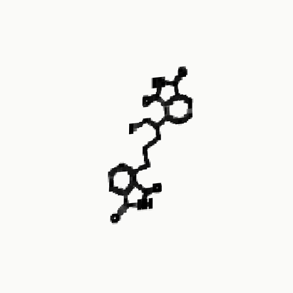 O=C1NC(=O)c2c(CCCC(CF)c3cccc4c3C(=O)NC4=O)cccc21